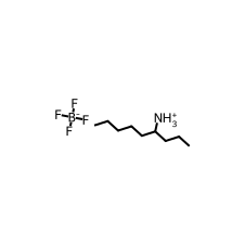 CCCCCC([NH3+])CCC.F[B-](F)(F)F